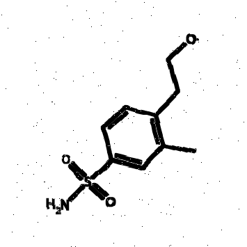 Cc1cc(S(N)(=O)=O)ccc1CC[O]